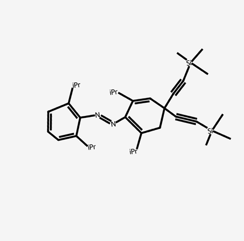 CC(C)C1=CC(C#C[Si](C)(C)C)(C#C[Si](C)(C)C)CC(C(C)C)=C1N=Nc1c(C(C)C)cccc1C(C)C